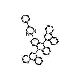 c1ccc(-c2cnc(-c3ccc4c(-c5cc6ccccc6c6ccccc56)c5ccccc5c(-c5cc6ccccc6c6ccccc56)c4c3)nc2)cc1